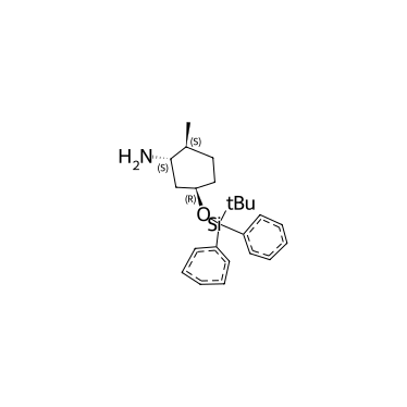 C[C@H]1CC[C@@H](O[Si](c2ccccc2)(c2ccccc2)C(C)(C)C)C[C@@H]1N